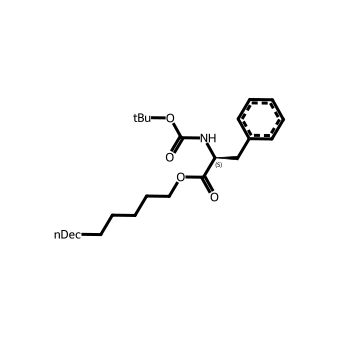 CCCCCCCCCCCCCCCOC(=O)[C@H](Cc1ccccc1)NC(=O)OC(C)(C)C